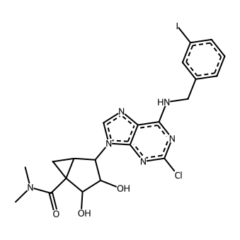 CN(C)C(=O)C12CC1C(n1cnc3c(NCc4cccc(I)c4)nc(Cl)nc31)C(O)C2O